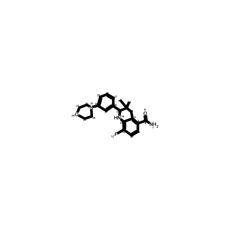 CC1(C)Cc2c(C(N)=O)ccc(F)c2NC1c1cccc(N2CCOCC2)c1